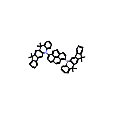 CC1(C)c2ccccc2-c2cc3c(cc21)C(C)(C)c1ccccc1N3c1ccc2ccc3c(N4c5ccccc5C(C)(C)c5cc6c(cc54)-c4ccccc4C6(C)C)ccc4ccc1c2c43